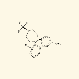 Oc1ccc([C@]2(c3ccccc3F)CC[C@H](C(F)(F)F)CC2)cc1